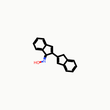 O/N=C1/C(C2=Cc3ccccc3C2)=Cc2ccccc21